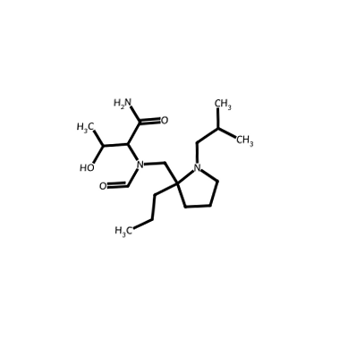 CCCC1(CN(C=O)C(C(N)=O)C(C)O)CCCN1CC(C)C